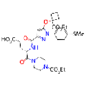 CCOC(=O)N1CCN(C(=O)[C@H](CCC(=O)O)NC(=O)c2cc(OC3(C(=O)OCC)CCC3)n(-c3ccc(SC)cc3)n2)CC1